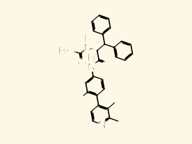 Cc1nccc(-c2ccc(NC(=O)[C@@H](NC(=O)O)C(c3ccccc3)c3ccccc3)cc2F)c1C